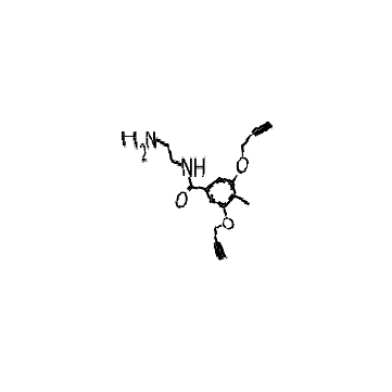 C#CCOc1cc(C(=O)NCCN)cc(OCC#C)c1C